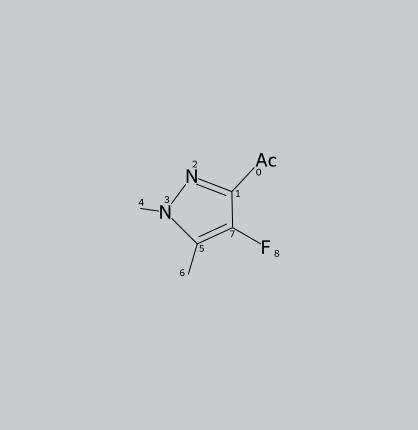 CC(=O)c1nn(C)c(C)c1F